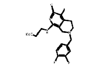 COCCNc1nc(Cl)c(C)c2c1CN(Cc1ccc(F)c(F)c1)CC2